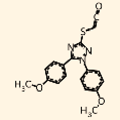 COc1ccc(-c2nc(SC=C=O)nn2-c2ccc(OC)cc2)cc1